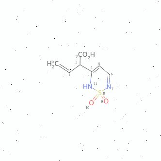 C=CC(C(=O)O)C1=CC=NS(=O)(=O)N1